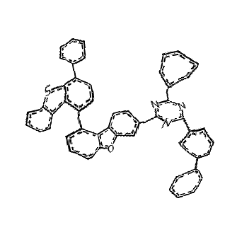 c1ccc(-c2cccc(-c3nc(-c4ccccc4)nc(-c4ccc5c(c4)oc4cccc(-c6ccc(-c7ccccc7)c7sc8ccccc8c67)c45)n3)c2)cc1